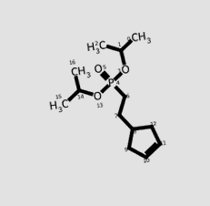 CC(C)OP(=O)(CCC1CC=CC1)OC(C)C